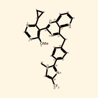 COc1ncnc(C2CC2)c1-c1nc(Cc2ccc(-c3nc(C(F)(F)F)cn3C)cc2)c2ncccc2n1